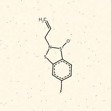 C=CCN1Sc2cc(F)ccc2[S+]1[O-]